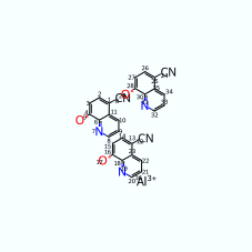 N#Cc1ccc([O-])c2ncccc12.N#Cc1ccc([O-])c2ncccc12.N#Cc1ccc([O-])c2ncccc12.[Al+3]